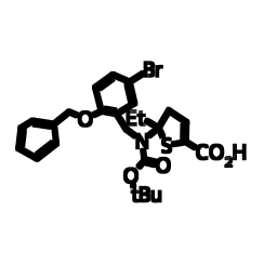 CCC1(N(Cc2cc(Br)ccc2OCc2ccccc2)C(=O)OC(C)(C)C)CC=C(C(=O)O)S1